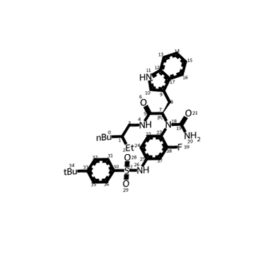 CCCCC(CC)CNC(=O)[C@@H](Cc1c[nH]c2ccccc12)N(C(N)=O)c1ccc(NS(=O)(=O)c2ccc(C(C)(C)C)cc2)cc1F